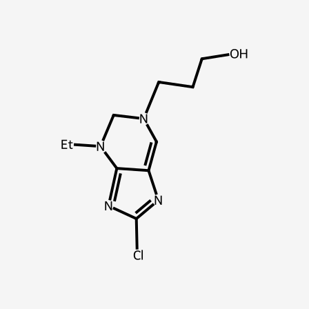 CCN1CN(CCCO)C=C2N=C(Cl)N=C21